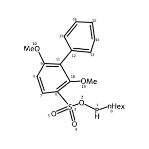 CCCCCCPOS(=O)(=O)c1ccc(OC)c(-c2ccccc2)c1OC